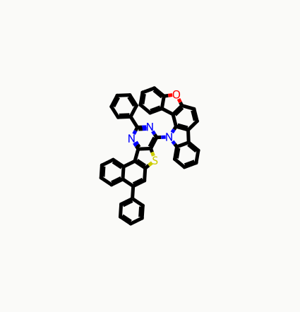 c1ccc(-c2nc(-n3c4ccccc4c4ccc5oc6ccccc6c5c43)c3sc4cc(-c5ccccc5)c5ccccc5c4c3n2)cc1